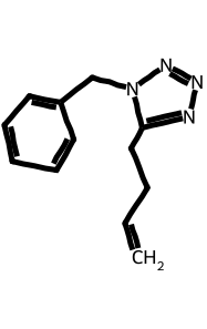 C=CCCc1nnnn1Cc1ccccc1